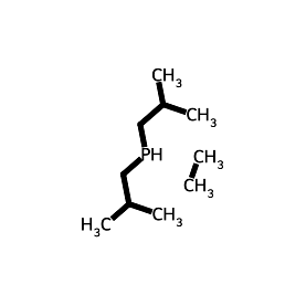 CC.CC(C)CPCC(C)C